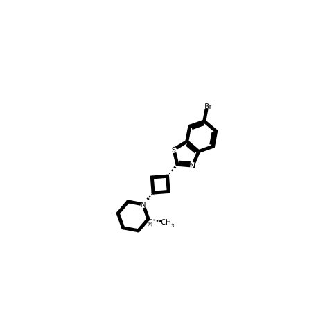 C[C@@H]1CCCCN1[C@H]1C[C@@H](c2nc3ccc(Br)cc3s2)C1